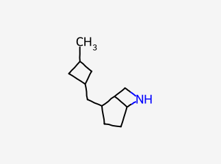 CC1CC(CC2CCC3NCC23)C1